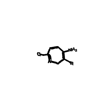 CCC1=C(N)C=CC(Cl)=NC1